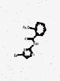 CC(=O)Oc1ccccc1C(=O)Nc1ncc(Br)s1